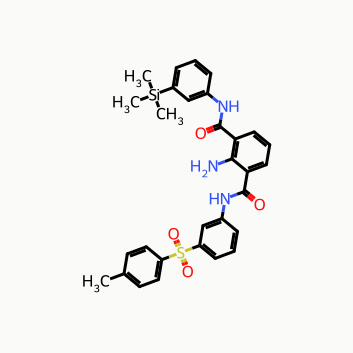 Cc1ccc(S(=O)(=O)c2cccc(NC(=O)c3cccc(C(=O)Nc4cccc([Si](C)(C)C)c4)c3N)c2)cc1